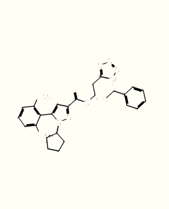 COc1cccc(OC)c1-c1cc(C(=O)N[C@@H](CCc2ccccc2)Cc2nnn[nH]2)nn1C1CCCC1